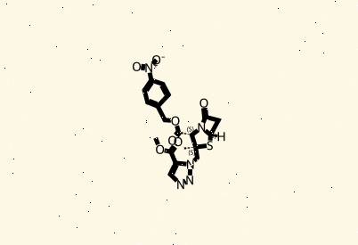 COC(=O)c1cnnn1C[C@]1(C)S[C@H]2CC(=O)N2[C@H]1C(=O)OCc1ccc([N+](=O)[O-])cc1